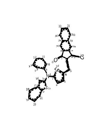 O=C1C(=Cc2ccc(N(c3ccccc3)c3cc4ccccc4s3)[se]2)C(=O)c2cc3ccccc3cc21